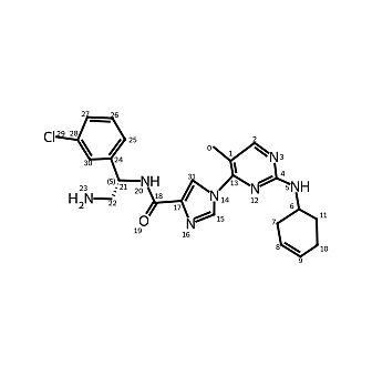 Cc1cnc(NC2CC=CCC2)nc1-n1cnc(C(=O)N[C@H](CN)c2cccc(Cl)c2)c1